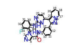 Cn1cncc1C(=O)Nc1cccc(-c2nn3ccccc3c2-c2ccnc(Nc3cccc(F)c3)n2)c1